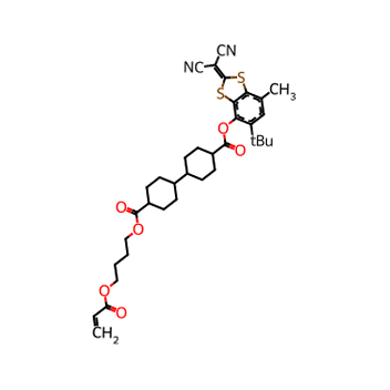 C=CC(=O)OCCCCOC(=O)C1CCC(C2CCC(C(=O)Oc3c(C(C)(C)C)cc(C)c4c3SC(=C(C#N)C#N)S4)CC2)CC1